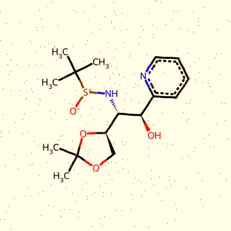 CC1(C)OC[C@H]([C@H](N[S+]([O-])C(C)(C)C)[C@H](O)c2ccccn2)O1